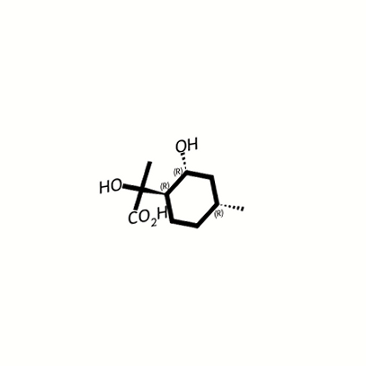 C[C@@H]1CC[C@@H](C(C)(O)C(=O)O)[C@H](O)C1